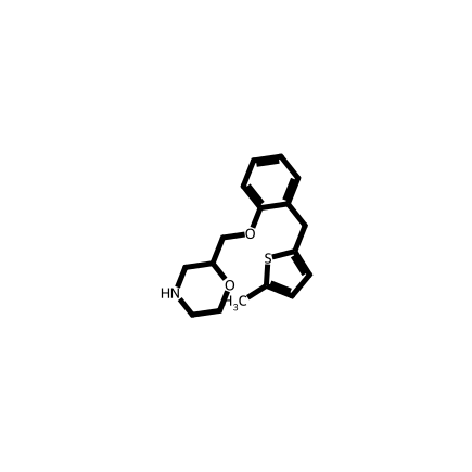 Cc1ccc(Cc2ccccc2OCC2CNCCO2)s1